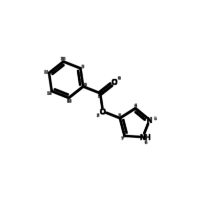 O=C(Oc1[c]n[nH]c1)c1ccccc1